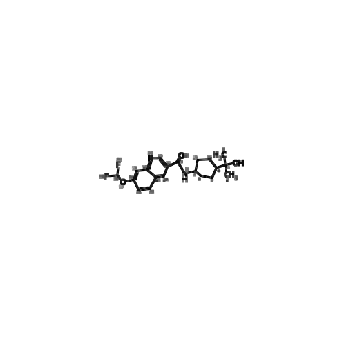 CC(C)(O)C1CCC(NC(=O)c2cnc3cc(OC(F)F)ccc3c2)CC1